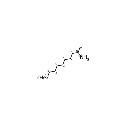 CCCCCCCCCCCCCC(C)N